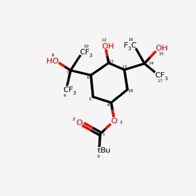 CC(C)(C)C(=O)OC1CC(C(O)(C(F)(F)F)C(F)(F)F)C(O)C(C(O)(C(F)(F)F)C(F)(F)F)C1